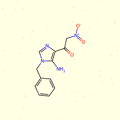 Nc1c(C(=O)C[N+](=O)[O-])ncn1Cc1ccccc1